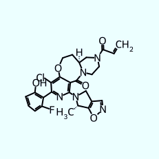 C=CC(=O)N1CCN2C(=O)c3c(N4Cc5cnoc5[C@@H]4C)nc(-c4c(O)cccc4F)c(Cl)c3OCC[C@H]2C1